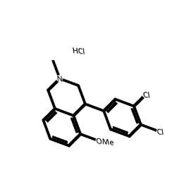 COc1cccc2c1C(c1ccc(Cl)c(Cl)c1)CN(C)C2.Cl